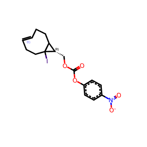 O=C(OC[C@H]1C2CC/C=C/CCC21I)Oc1ccc([N+](=O)[O-])cc1